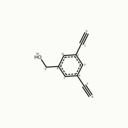 C#Cc1cc(C#C)cc(CO)c1